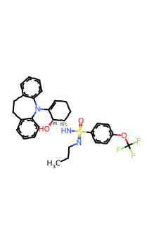 CCCN=S(=O)(N[C@H]1CCC=C(N2c3ccccc3CCc3ccccc32)[C@@H]1O)c1ccc(OC(F)(F)F)cc1